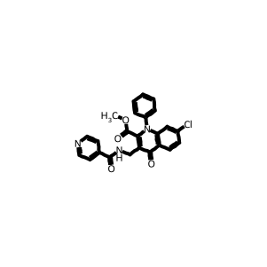 COC(=O)c1c(CNC(=O)c2ccncc2)c(=O)c2ccc(Cl)cc2n1-c1ccccc1